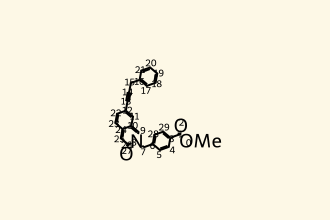 COC(=O)c1ccc(Cn2cc3cc(C#CCc4ccccc4)ccc3cc2=O)cc1